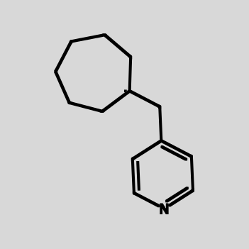 c1cc(C[C]2CCCCCC2)ccn1